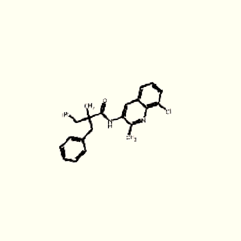 Cc1nc2c(Cl)cccc2cc1NC(=O)C(C)(Cc1ccccc1)CC(C)C